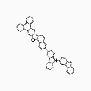 c1ccc2c(c1)sc1ccc(-n3c4ccccc4c4cc(-c5ccc6c(ccc7c8cc9c%10ccccc%10c%10ccccc%10c9cc8oc67)c5)ccc43)cc12